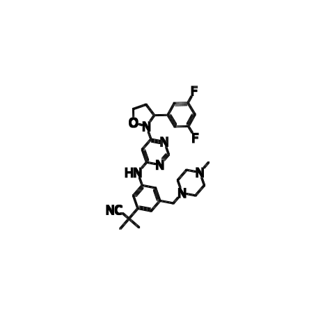 CN1CCN(Cc2cc(Nc3cc(N4OCCC4c4cc(F)cc(F)c4)ncn3)cc(C(C)(C)C#N)c2)CC1